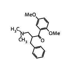 COc1ccc(OC)c(C(=O)C(Cc2ccccc2)CN(C)C)c1